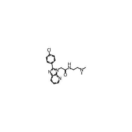 CN(C)CCNC(=O)Cn1c(-c2ccc(Cl)cc2)nc2cccnc21